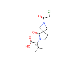 CC(C)[C@@H](C(=O)O)N1CCC2(CN(C(=O)CCl)C2)C1=O